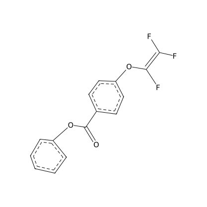 O=C(Oc1ccccc1)c1ccc(OC(F)=C(F)F)cc1